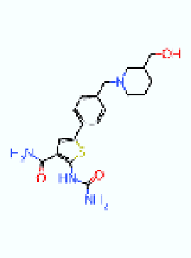 NC(=O)Nc1sc(-c2ccc(CN3CCCC(CO)C3)cc2)cc1C(N)=O